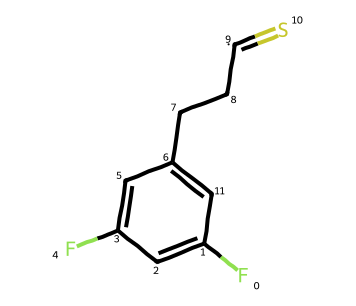 Fc1cc(F)cc(CC[C]=S)c1